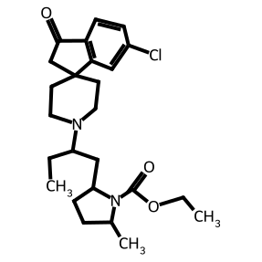 CCOC(=O)N1C(C)CCC1CC(CC)N1CCC2(CC1)CC(=O)c1ccc(Cl)cc12